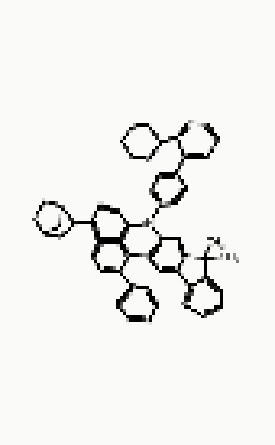 CC1(C)c2ccccc2-c2cc(-c3ccccc3-c3ccccc3)c(N(c3ccc(-c4ccccc4C4CCCCC4)cc3)c3ccc(C4CC5CCC4C5)cc3)cc21